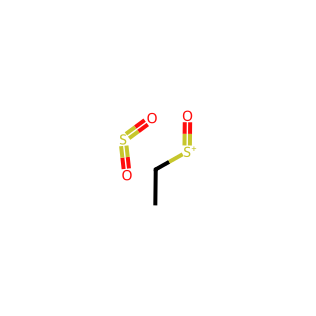 CC[S+]=O.O=S=O